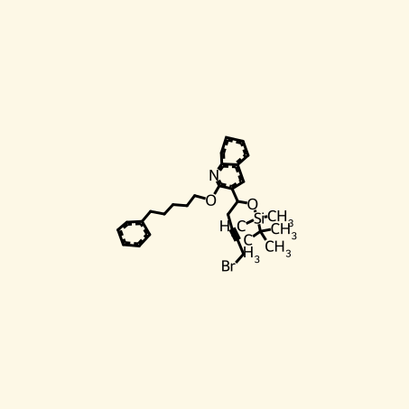 CC(C)(C)[Si](C)(C)OC(CC#CCBr)c1cc2ccccc2nc1OCCCCCc1ccccc1